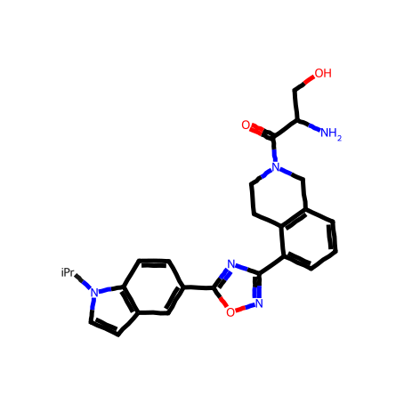 CC(C)n1ccc2cc(-c3nc(-c4cccc5c4CCN(C(=O)C(N)CO)C5)no3)ccc21